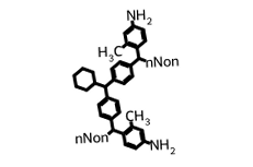 CCCCCCCCCC(c1ccc(C(c2ccc(C(CCCCCCCCC)c3ccc(N)cc3C)cc2)C2CCCCC2)cc1)c1ccc(N)cc1C